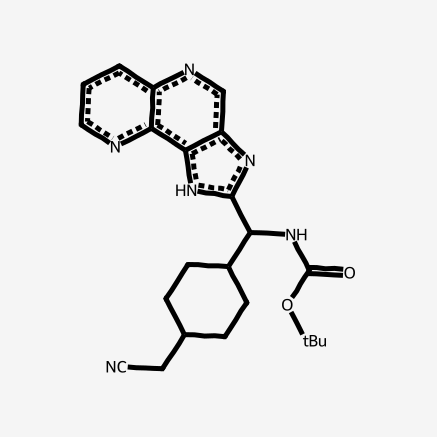 CC(C)(C)OC(=O)NC(c1nc2cnc3cccnc3c2[nH]1)C1CCC(CC#N)CC1